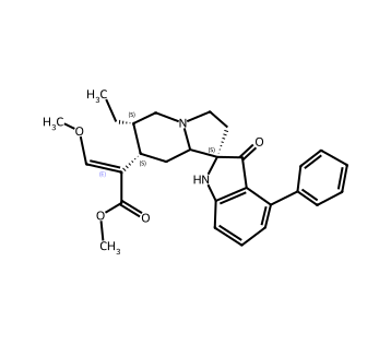 CC[C@@H]1CN2CC[C@]3(Nc4cccc(-c5ccccc5)c4C3=O)C2C[C@@H]1/C(=C\OC)C(=O)OC